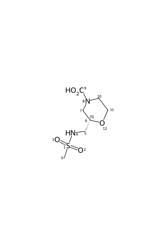 CS(=O)(=O)NC[C@@H]1CN(C(=O)O)CCO1